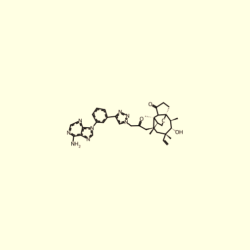 C=C[C@]1(C)C[C@@H](CC(=O)Cn2cc(-c3cccc(-n4cnc5c(N)ncnc54)c3)nn2)[C@@]2(C)C3C(=O)CC[C@@]3(CC[C@H]2C)[C@@H](C)[C@@H]1O